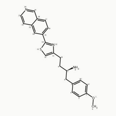 COc1ccc(C[C@H](N)CCc2csc(-c3ccc4cnccc4c3)n2)cc1